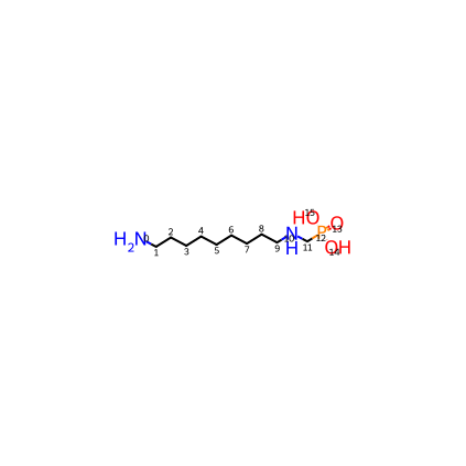 NCCCCCCCCCNCP(=O)(O)O